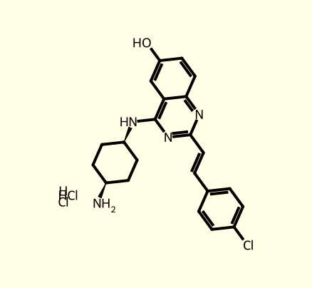 Cl.Cl.N[C@H]1CC[C@@H](Nc2nc(C=Cc3ccc(Cl)cc3)nc3ccc(O)cc23)CC1